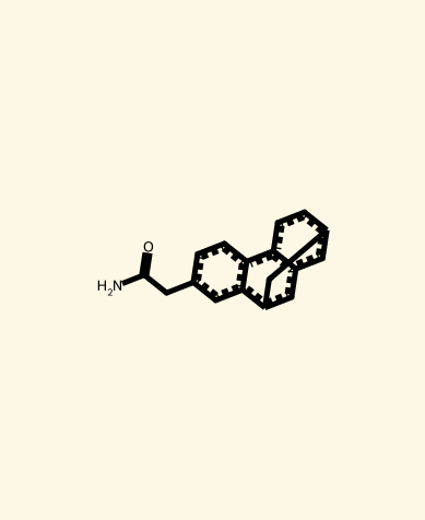 NC(=O)Cc1ccc2c(c1)c1cc3cc(ccc32)C1